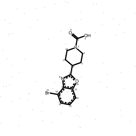 O=C(O)N1CCC(c2nc3c(Br)cccc3o2)CC1